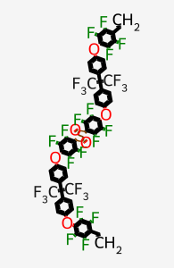 C=Cc1c(F)c(F)c(Oc2ccc(C(c3ccc(Oc4c(F)c(F)c(S(=O)(=O)c5c(F)c(F)c(Oc6ccc(C(c7ccc(Oc8c(F)c(F)c(C=C)c(F)c8F)cc7)(C(F)(F)F)C(F)(F)F)cc6)c(F)c5F)c(F)c4F)cc3)(C(F)(F)F)C(F)(F)F)cc2)c(F)c1F